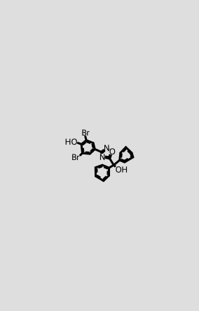 Oc1c(Br)cc(-c2noc(C(O)(c3ccccc3)c3ccccc3)n2)cc1Br